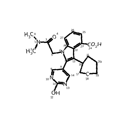 CN(C)C(=O)Cn1c(-c2cnc(O)nc2)c(C2CCCCC2)c2c(C(=O)O)cccc21